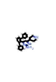 Nc1nc(-c2c(-c3ccccc3)cccc2-c2ccccc2)cc(C2CCNCC2)n1